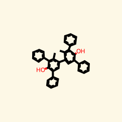 Cc1c(-c2cc(-c3ccccc3)c(O)c(-c3ccccc3)c2C)cc(-c2ccccc2)c(O)c1-c1ccccc1